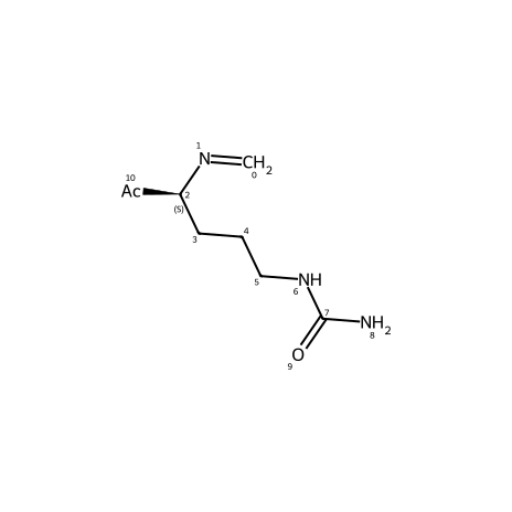 C=N[C@@H](CCCNC(N)=O)C(C)=O